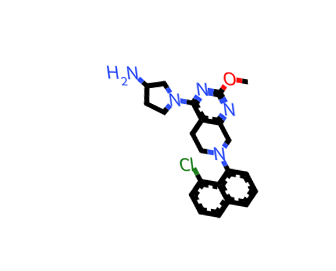 COc1nc2c(c(N3CCC(N)C3)n1)CCN(c1cccc3cccc(Cl)c13)C2